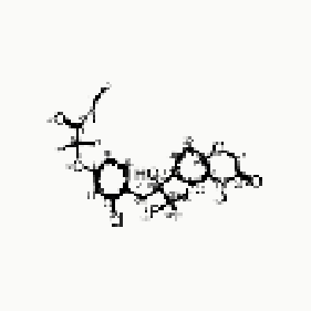 CCOC(=O)C(C)(C)Oc1ccc([C@@H](C)[C@@](O)(c2ccc3c(c2)N(C)C(=O)CO3)C(F)(F)F)c(Cl)c1